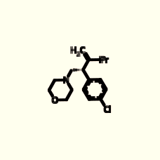 C=C(C(C)C)[C@@H](CN1CCOCC1)c1ccc(Cl)cc1